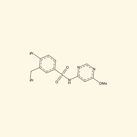 COc1cc(NS(=O)(=O)c2ccc(C(C)C)c(CC(C)C)c2)ncn1